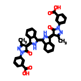 CC1=NN(c2cccc(C(=O)O)c2)C(=O)/C1=c1\[nH]/c(=c2/[nH]/c(=C3\C(=O)N(c4cccc(C(=O)O)c4)N=C3C)c3ccccc23)c2ccccc12